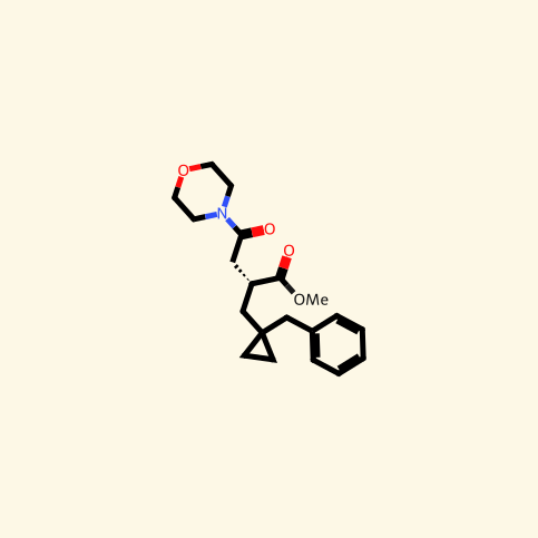 COC(=O)[C@@H](CC(=O)N1CCOCC1)CC1(Cc2ccccc2)CC1